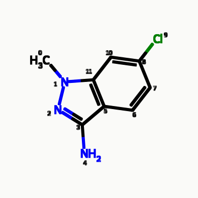 Cn1nc(N)c2ccc(Cl)cc21